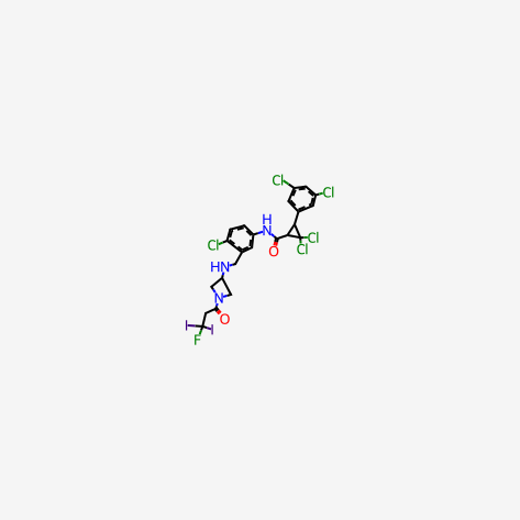 O=C(Nc1ccc(Cl)c(CNC2CN(C(=O)CC(F)(I)I)C2)c1)C1C(c2cc(Cl)cc(Cl)c2)C1(Cl)Cl